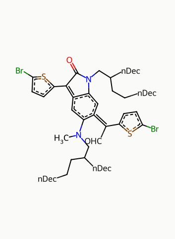 CCCCCCCCCCCCC(CCCCCCCCCC)CN(C)c1cc2c(c/c1=C(/C=O)c1ccc(Br)s1)N(CC(CCCCCCCCCC)CCCCCCCCCCCC)C(=O)C=2c1ccc(Br)s1